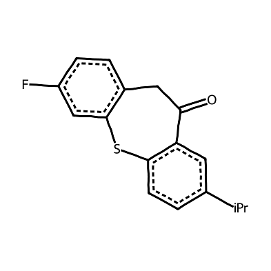 CC(C)c1ccc2c(c1)C(=O)Cc1ccc(F)cc1S2